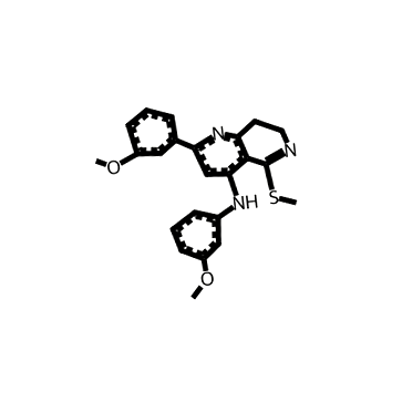 COc1cccc(Nc2cc(-c3cccc(OC)c3)nc3c2C(SC)=NCC3)c1